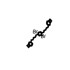 Brc1cc(CCCCCc2ccc3c(c2)CC3)c(Br)cc1CCCCCc1ccc2c(c1)CC2